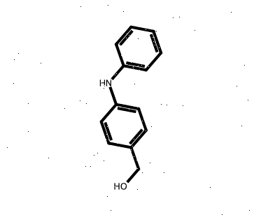 OCc1ccc(Nc2cc[c]cc2)cc1